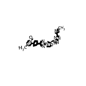 CN1CCN(C=O)C(c2ccc(-c3cnc(N4CCO[C@H](Cn5nnc6ncc(-c7cnn(C)c7)nc65)C4)nc3)cc2)C1